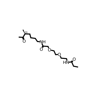 CCC(=O)NCCOCCOCC(=O)NCCCC[C@H](C)C(C)=O